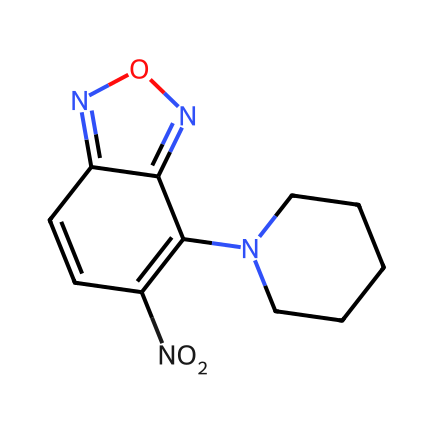 O=[N+]([O-])c1ccc2nonc2c1N1CCCCC1